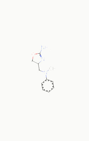 CN(CC1COC(N)=N1)c1ccccc1